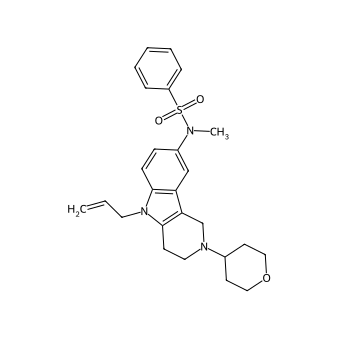 C=CCn1c2c(c3cc(N(C)S(=O)(=O)c4ccccc4)ccc31)CN(C1CCOCC1)CC2